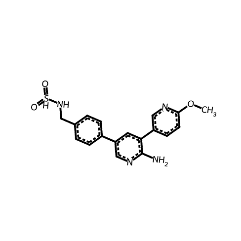 COc1ccc(-c2cc(-c3ccc(CN[SH](=O)=O)cc3)cnc2N)cn1